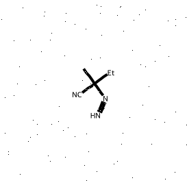 CCC(C)(C#N)N=N